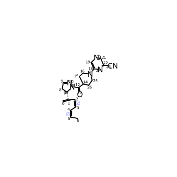 C=C(/C=C\C=C/C)[C@@H]1CC=NN1C(=O)C1CCN(c2cncc(C#N)n2)CC1